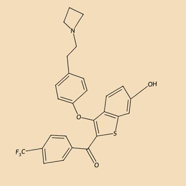 O=C(c1ccc(C(F)(F)F)cc1)c1sc2cc(O)ccc2c1Oc1ccc(CCN2CCC2)cc1